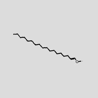 [CH2]OC=CCCCCCCCCCCCCCCCC